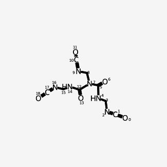 O=C=NCNC(=O)N(CN=C=O)C(=O)NCN=C=O